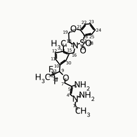 CCN(N)/C=C(\N)COC(c1ccc(C)c(CN2CCOc3ccccc3S2(=O)=O)c1)C(C)(F)F